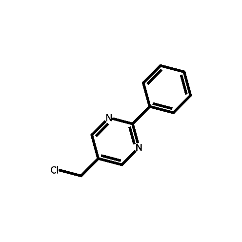 ClCc1cnc(-c2ccccc2)nc1